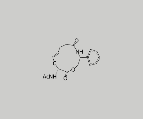 CC(=O)N[C@@H]1C/C=C/CCC(=O)N[C@@H](c2ccccc2)COC1=O